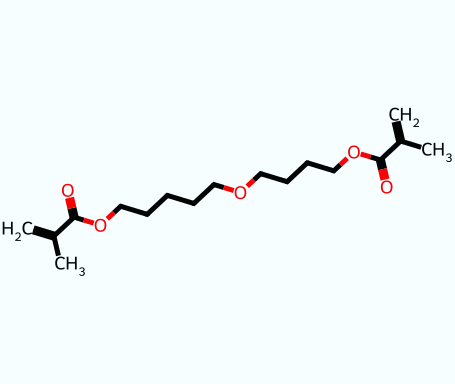 C=C(C)C(=O)OCCCCCOCCCCOC(=O)C(=C)C